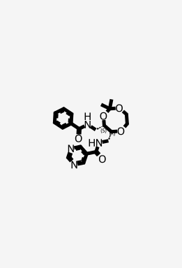 CC1(C)OCCO[C@H](CNC(=O)c2cncnc2)[C@H](CNC(=O)c2ccccc2)O1